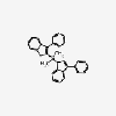 C[Si](C)(C1=C(c2ccccc2)c2ccccc2C1)C1C=C(c2ccccc2)c2ccccc21